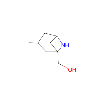 CC1CC2CC(CO)(C1)N2